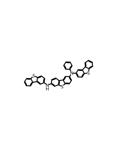 c1ccc(N(c2ccc3sc4ccccc4c3c2)c2ccc3sc4cc(Nc5ccc6sc7ccccc7c6c5)ccc4c3c2)cc1